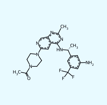 CC(=O)N1CCN(c2cc3c(N[C@H](C)c4cc(N)cc(C(F)(F)F)c4)nc(C)nc3cn2)CC1